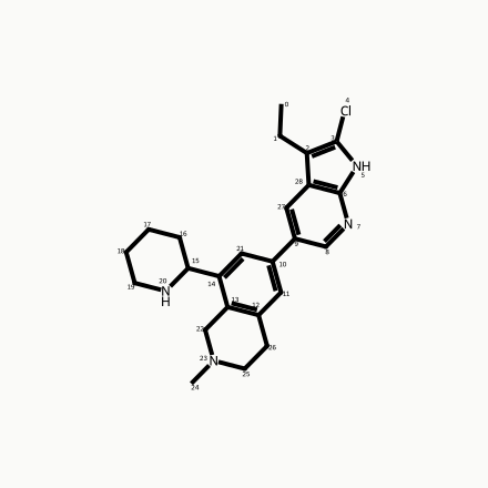 CCc1c(Cl)[nH]c2ncc(-c3cc4c(c(C5CCCCN5)c3)CN(C)CC4)cc12